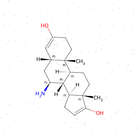 C[C@]12CCC(O)=C[C@H]1C[C@H](N)[C@@H]1[C@@H]2CC[C@]2(C)C(O)=CC[C@@H]12